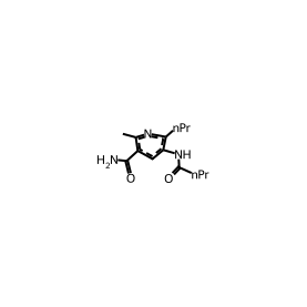 CCCC(=O)Nc1cc(C(N)=O)c(C)nc1CCC